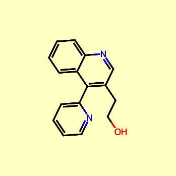 OCCc1cnc2ccccc2c1-c1ccccn1